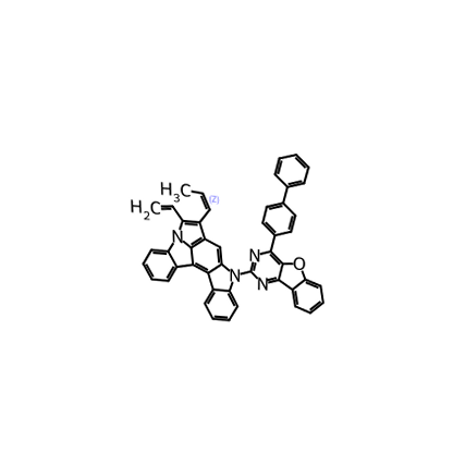 C=Cc1c(/C=C\C)c2cc3c(c4ccccc4n3-c3nc(-c4ccc(-c5ccccc5)cc4)c4oc5ccccc5c4n3)c3c4ccccc4n1c23